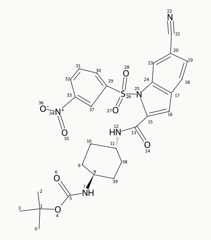 CC(C)(C)OC(=O)N[C@H]1CC[C@H](NC(=O)c2cc3ccc(C#N)cc3n2S(=O)(=O)c2cccc([N+](=O)[O-])c2)CC1